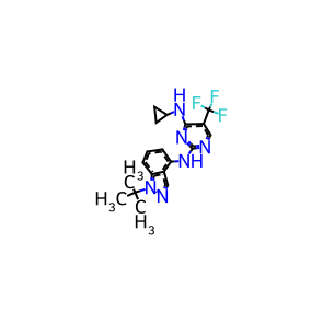 CC(C)(C)n1ncc2c(Nc3ncc(C(F)(F)F)c(NC4CC4)n3)cccc21